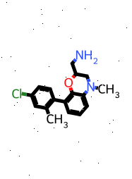 Cc1cc(Cl)ccc1-c1cccc2c1OC(CN)CN2C